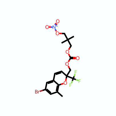 Cc1cc(Br)cc2c1OC(COC(=O)OCC(C)(C)CO[N+](=O)[O-])(C(F)(F)F)C=C2